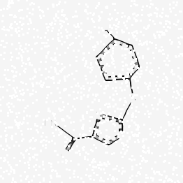 NC(=O)c1csc(Nc2ccc(Cl)cc2)n1